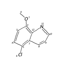 COc1c[c]c(Cl)c2cccnc12